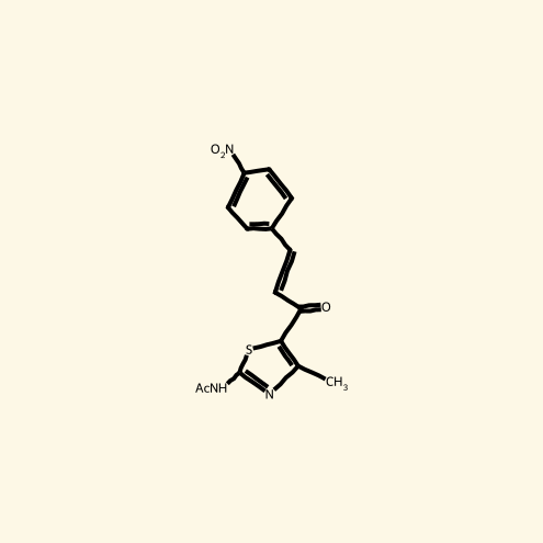 CC(=O)Nc1nc(C)c(C(=O)C=Cc2ccc([N+](=O)[O-])cc2)s1